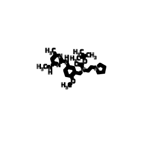 CNc1cc(C)nc(Nc2ccc(OC)c(CN(CCN3CCCC3)C(=O)OC(C)(C)C)c2)n1